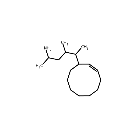 CC(N)CC(C)C(C)C1/C=C\CCCCCCC1